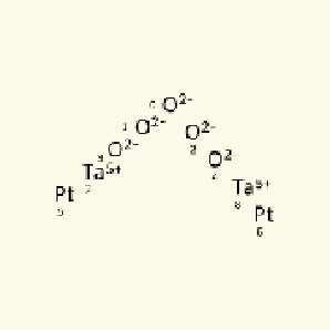 [O-2].[O-2].[O-2].[O-2].[O-2].[Pt].[Pt].[Ta+5].[Ta+5]